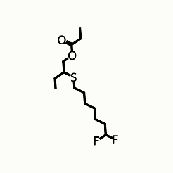 CCC(=O)OCC(CC)SCCCCCCC(F)F